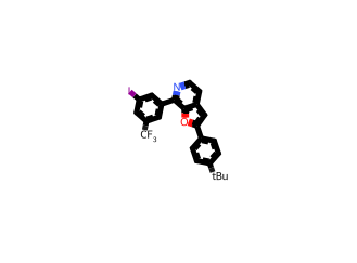 CC(C)(C)c1ccc(-c2cc3ccnc(-c4cc(I)cc(C(F)(F)F)c4)c3o2)cc1